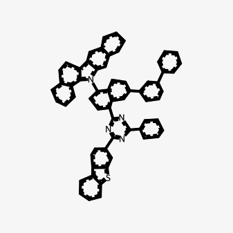 c1ccc(-c2cccc(-c3ccc4c(-n5c6cc7ccccc7cc6c6ccc7ccccc7c65)ccc(-c5nc(-c6ccccc6)nc(-c6ccc7c(c6)sc6ccccc67)n5)c4c3)c2)cc1